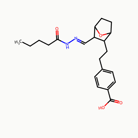 CCCCC(=O)N/N=C/C1C2CCC(O2)C1CCc1ccc(C(=O)O)cc1